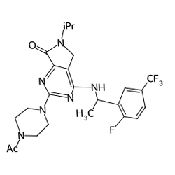 CC(=O)N1CCN(c2nc(NC(C)c3cc(C(F)(F)F)ccc3F)c3c(n2)C(=O)N(C(C)C)C3)CC1